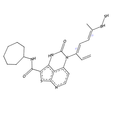 C=C/C(=C\C=C(/C)BS)N1C(=O)Nc2c(C(=O)NC3CCCCCC3)sc3nccc1c23